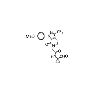 COc1ccc(-n2nc(C(F)(F)F)c3c2C(=O)N(CC(=O)NC2(C=O)CC2)CC3)cc1